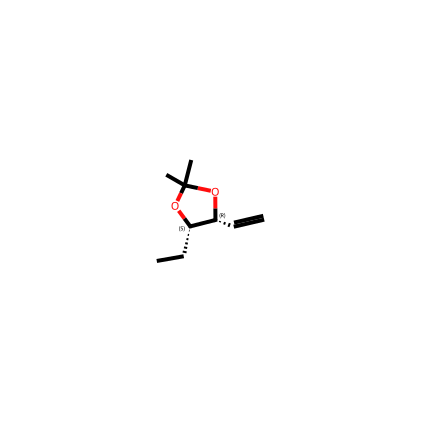 C=C[C@H]1OC(C)(C)O[C@H]1CC